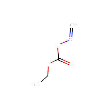 C=NOC(=O)OCC